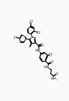 Cc1c(C(=O)Nc2ccc(C(=O)NCCC(N)=O)c(Cl)c2)nn(-c2ccc(Cl)cc2Cl)c1-c1ccc(Cl)cc1